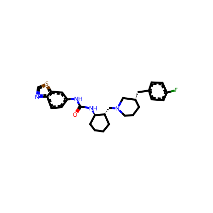 O=C(Nc1ccc2ncsc2c1)N[C@@H]1CCCC[C@H]1CN1CCC[C@@H](Cc2ccc(F)cc2)C1